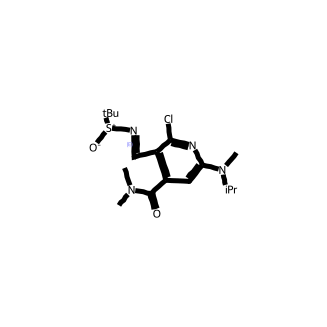 CC(C)N(C)c1cc(C(=O)N(C)C)c(/C=N/[S+]([O-])C(C)(C)C)c(Cl)n1